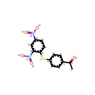 CC(=O)c1ccc(Sc2ccc([N+](=O)[O-])cc2[N+](=O)[O-])cc1